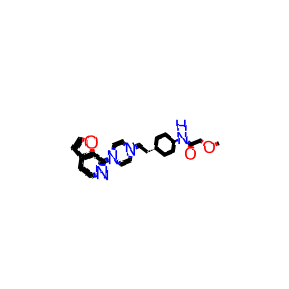 COCC(=O)N[C@H]1CC[C@H](CCN2CCN(c3nccc4ccoc34)CC2)CC1